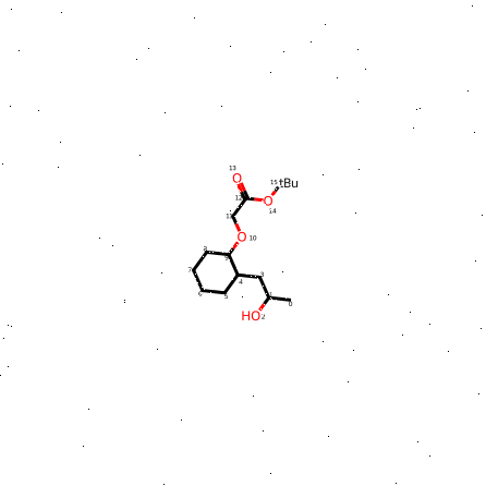 CC(O)CC1CCCCC1OCC(=O)OC(C)(C)C